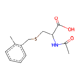 CC(=O)NC(CSCc1ccccc1C)C(=O)O